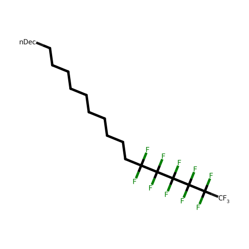 CCCCCCCCCCCCCCCCCCCCC(F)(F)C(F)(F)C(F)(F)C(F)(F)C(F)(F)C(F)(F)F